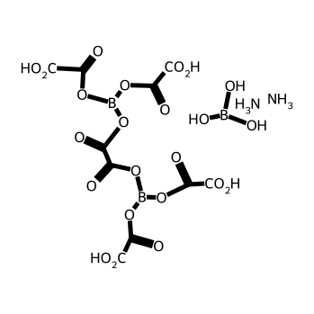 N.N.O=C(O)C(=O)OB(OC(=O)C(=O)O)OC(=O)C(=O)OB(OC(=O)C(=O)O)OC(=O)C(=O)O.OB(O)O